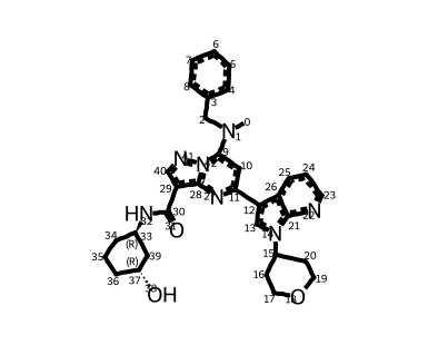 CN(Cc1ccccc1)c1cc(-c2cn(C3CCOCC3)c3ncccc23)nc2c(C(=O)N[C@@H]3CCC[C@@H](O)C3)cnn12